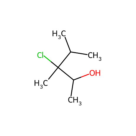 CC(C)C(C)(Cl)C(C)O